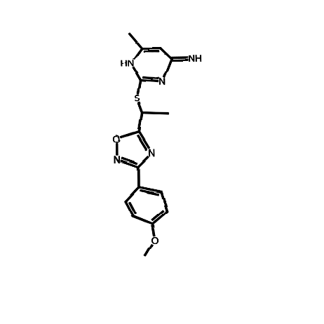 COc1ccc(-c2noc(C(C)Sc3nc(=N)cc(C)[nH]3)n2)cc1